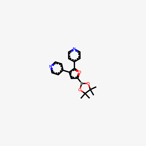 CC1(C)OB(c2cc(-c3ccncc3)c(-c3ccncc3)o2)OC1(C)C